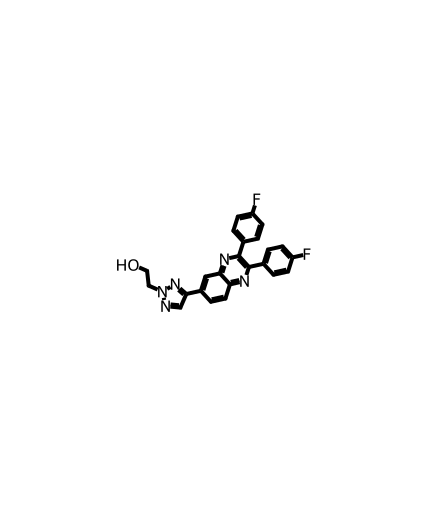 OCCn1ncc(-c2ccc3nc(-c4ccc(F)cc4)c(-c4ccc(F)cc4)nc3c2)n1